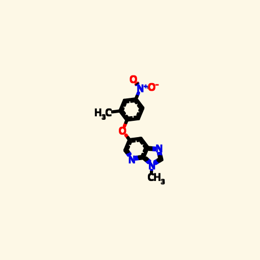 Cc1cc([N+](=O)[O-])ccc1Oc1cnc2c(c1)ncn2C